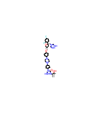 CC[C@H](NC(=O)N(C=N)c1ccc(N2CCN(c3ccc(OC[C@@H]4CO[C@@](CN(C=N)C=N)(c5ccc(F)cc5F)C4)cc3)CC2)cc1)[C@H](C)O